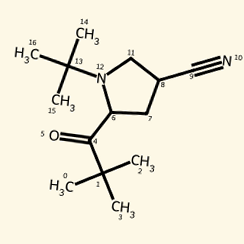 CC(C)(C)C(=O)C1CC(C#N)CN1C(C)(C)C